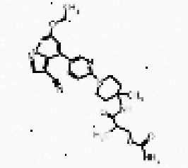 CCOc1cc(-c2ccc(N3CCC(C)(NC(=O)C(C)COC(N)=O)CC3)nc2)c2c(C#N)cnn2c1